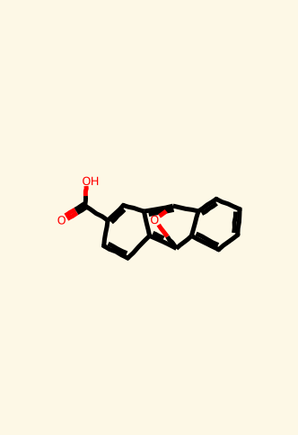 O=C(O)c1ccc2c(c1)c1oc2c2ccccc21